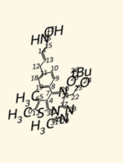 Cc1sc2c(c1C)C(c1ccc(CC=CCNO)cc1)=NC(CC(=O)OC(C)(C)C)c1nnc(C)n1-2